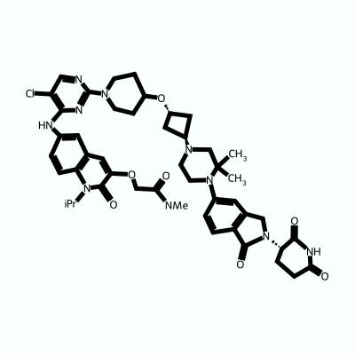 CNC(=O)COc1cc2cc(Nc3nc(N4CCC(O[C@H]5C[C@H](N6CCN(c7ccc8c(c7)CN([C@H]7CCC(=O)NC7=O)C8=O)C(C)(C)C6)C5)CC4)ncc3Cl)ccc2n(C(C)C)c1=O